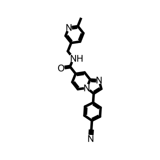 Cc1ccc(CNC(=O)c2ccn3c(-c4ccc(C#N)cc4)cnc3c2)cn1